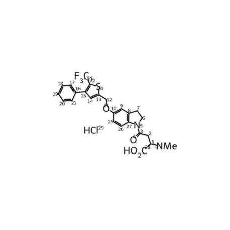 CNC(CC(=O)N1CCc2cc(OCc3cc(-c4ccccc4)c(C(F)(F)F)s3)ccc21)C(=O)O.Cl